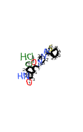 Cl.O=C1Cc2cc(C(=O)CN3CCN(c4nsc5ccccc45)CC3)c(Cl)cc2N1